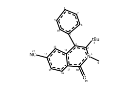 Cn1c(C(C)(C)C)c(-c2ccccc2)c2cc(C#N)ccc2c1=O